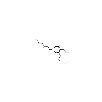 CCCCCCCCCCCCCCCC[n+]1ccc(CCCCCCCCCCCC)c(CCCCCCCCCCCC)c1